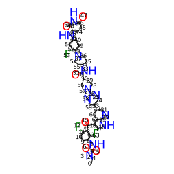 CCN(C)S(=O)(=O)Nc1ccc(F)c(C(=O)c2c[nH]c3ncc(-c4cnc(N5CCC(C(=O)NC6CCN(c7ccc(NC8CCC(=O)NC8=O)cc7F)CC6)CC5)nc4)cc23)c1F